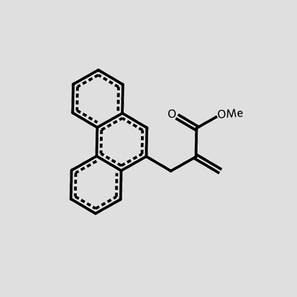 C=C(Cc1cc2ccccc2c2ccccc12)C(=O)OC